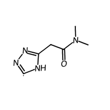 CN(C)C(=O)Cc1nn[c][nH]1